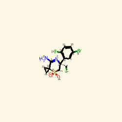 NC1=N[C@@](CF)(c2cc(Br)ccc2F)CS(=O)(=O)C12CC2